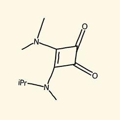 CC(C)N(C)c1c(N(C)C)c(=O)c1=O